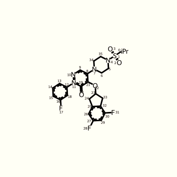 CC(C)S(=O)(=O)N1CCN(c2cnn(-c3cccc(F)c3)c(=O)c2OC2Cc3cc(F)cc(F)c3C2)CC1